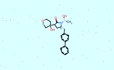 CB(O)N1C(=O)C(C2(O)CCOCC2)C[C@H]1Cc1ccc(-c2ccccc2)cc1